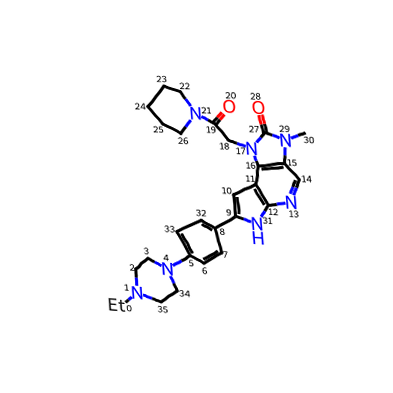 CCN1CCN(c2ccc(-c3cc4c(ncc5c4n(CC(=O)N4CCCCC4)c(=O)n5C)[nH]3)cc2)CC1